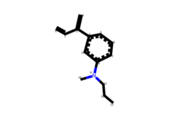 C=CC(=C)c1cccc(N(C)CCC)c1